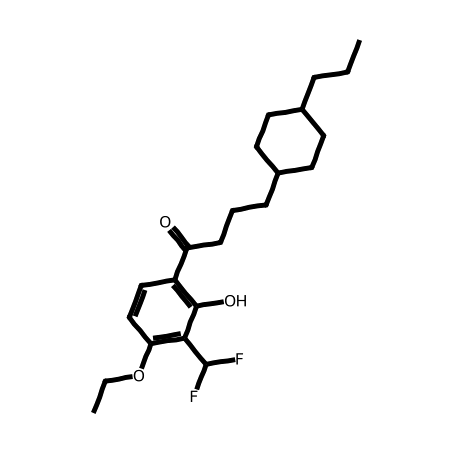 CCCC1CCC(CCCC(=O)c2ccc(OCC)c(C(F)F)c2O)CC1